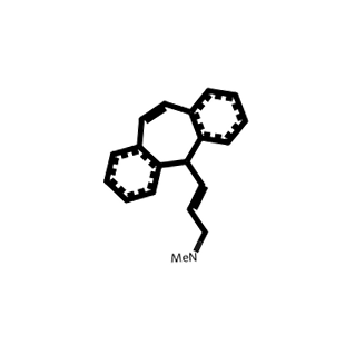 CNCC=CC1c2ccccc2C=Cc2ccccc21